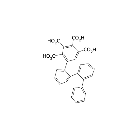 O=C(O)c1cc(-c2ccccc2-c2ccccc2-c2ccccc2)c(C(=O)O)c(C(=O)O)c1C(=O)O